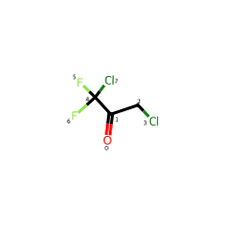 O=C(CCl)C(F)(F)Cl